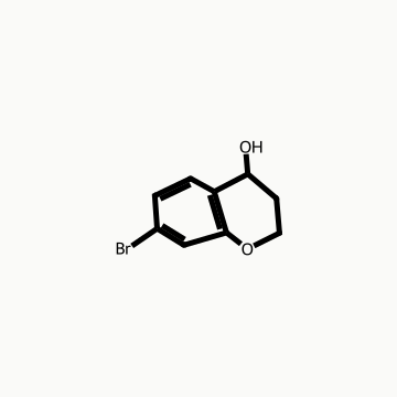 OC1CCOc2cc(Br)ccc21